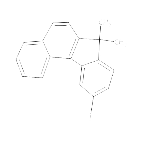 CC1(C)c2ccc(I)cc2-c2c1ccc1ccccc21